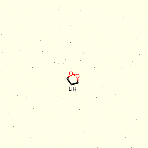 C1COOC1.[LiH]